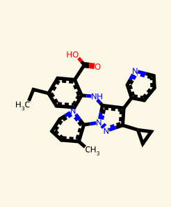 CCc1ccc(Nc2c(-c3cccnc3)c(C3CC3)nn2-c2ncccc2C)c(C(=O)O)c1